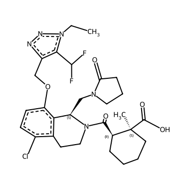 CCn1nnc(COc2ccc(Cl)c3c2[C@@H](CN2CCCC2=O)N(C(=O)[C@@H]2CCCC[C@]2(C)C(=O)O)CC3)c1C(F)F